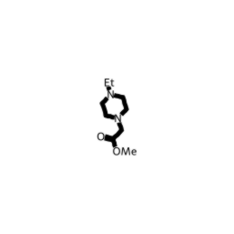 CCN1CCN(CC(=O)OC)CC1